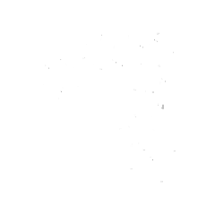 O=C([N-]c1c[n+](Cc2ccc(-c3cncnc3)cn2)no1)Nc1cccc(C(F)(F)F)c1